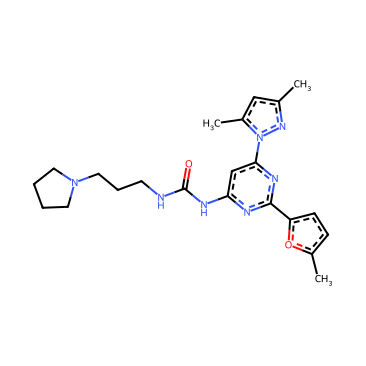 Cc1cc(C)n(-c2cc(NC(=O)NCCCN3CCCC3)nc(-c3ccc(C)o3)n2)n1